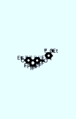 CCOc1ccc(OC(F)(F)c2ccc3c(c2F)C(F)(F)C(F)(F)c2c-3ccc(OCC)c2F)cc1F